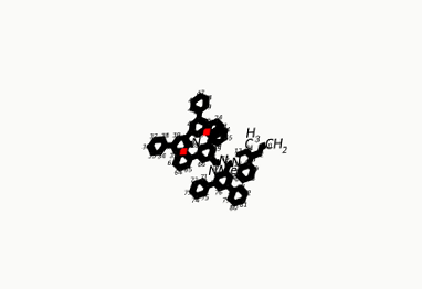 C=C/C=C(/c1ccccc1)C(C)C/N=C(\N=C(/NC)c1cc(-c2ccccc2)c(-n2c3ccc(-c4ccccc4)cc3c3cc(-c4ccccc4)cc(-c4ccccc4)c32)c(-c2ccccc2)c1)c1cc(-c2ccccc2)cc(-c2ccccc2)c1